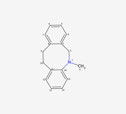 CN1Cc2ccccc2CCc2ccccc21